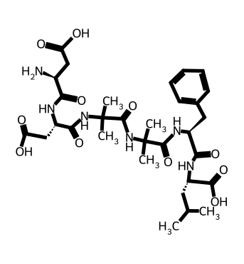 CC(C)C[C@H](NC(=O)[C@H](Cc1ccccc1)NC(=O)C(C)(C)NC(=O)C(C)(C)NC(=O)[C@H](CC(=O)O)NC(=O)[C@@H](N)CC(=O)O)C(=O)O